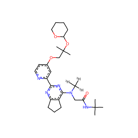 [2H]C([2H])([2H])N(CC(=O)NC(C)(C)C)c1nc(-c2cc(OCC(C)(C)OC3CCCCO3)ccn2)nc2c1CCC2